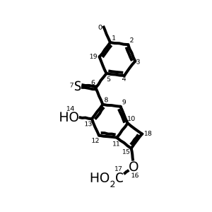 Cc1cccc(C(=S)c2cc3c(cc2O)C(OC(=O)O)=C3)c1